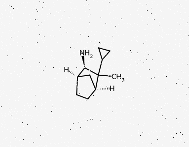 CC1(C2CC2)[C@H]2CC[C@H](C2)[C@H]1N